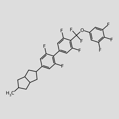 CC1CC2CC(c3cc(F)c(-c4cc(F)c(C(F)(F)Oc5cc(F)c(F)c(F)c5)c(F)c4)c(F)c3)CC2C1